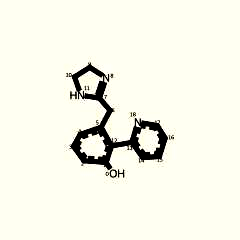 Oc1cccc(CC2=NCCN2)c1-c1ccccn1